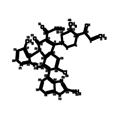 C=CC(=O)N1CCN(c2c(C(=O)NC)c(=O)n(-c3c(C)ccnc3C(C)C)c3c(F)c(-c4cccc5sc(N)nc45)c(Cl)cc23)C[C@H]1C